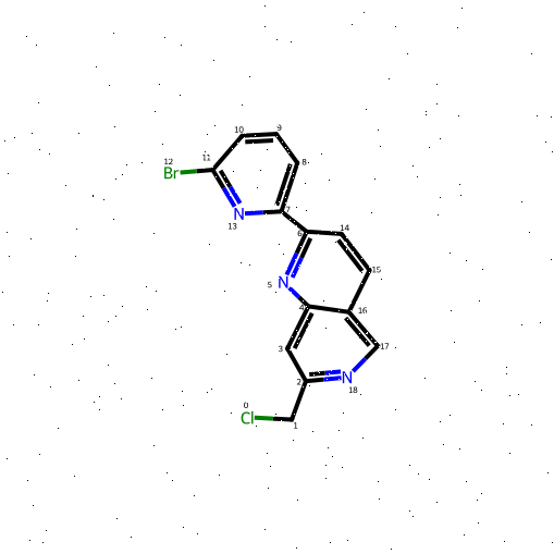 ClCc1cc2nc(-c3cccc(Br)n3)ccc2cn1